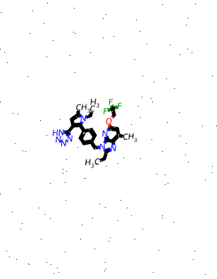 CCc1nc2c(C)cc(OCC(F)(F)F)nc2n1Cc1ccc(-c2c(-c3nnn[nH]3)cc(C)n2CC)cc1